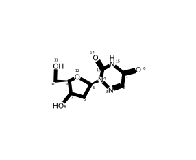 O=c1cnn([C@H]2CC(O)[C@@H](CO)O2)c(=O)[nH]1